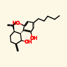 C=C1CC[C@@H](C(=C)C)[C@H](c2c(O)cc(CCCCC)cc2O)C1O